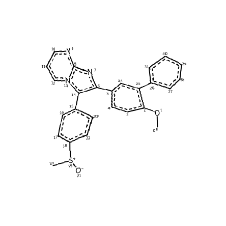 COc1ccc(-c2nc3ncccn3c2-c2ccc([S+](C)[O-])cc2)cc1-c1ccccc1